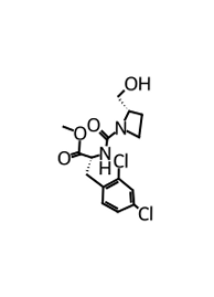 COC(=O)[C@@H](Cc1ccc(Cl)cc1Cl)NC(=O)N1CC[C@H]1CO